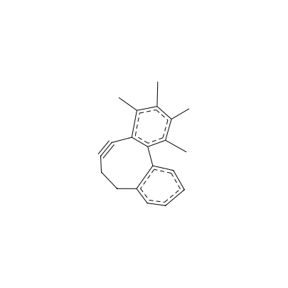 Cc1c(C)c(C)c2c(c1C)C#CCCc1ccccc1-2